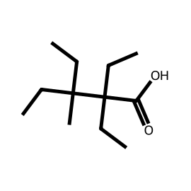 CCC(C)(CC)C(CC)(CC)C(=O)O